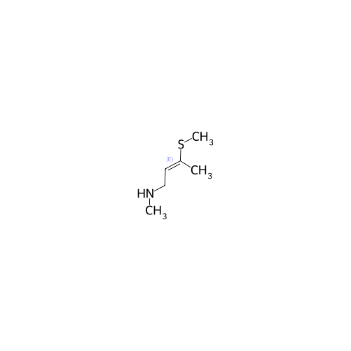 CNC/C=C(\C)SC